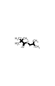 CC(C)CSC(=O)C(C)(C)C